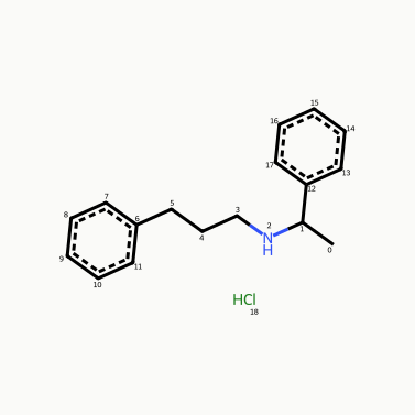 CC(NCCCc1ccccc1)c1ccccc1.Cl